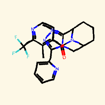 Cc1c(C(=O)N2C3CCCC2c2nnc(-c4ccccn4)n2C3)ccnc1C(F)(F)F